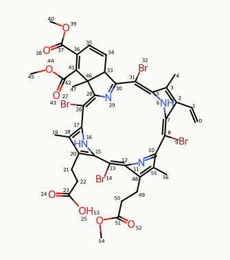 C=Cc1c(C)c2[nH]c1c(Br)c1nc(c(Br)c3[nH]c(c(C)c3CCC(=O)O)c(Br)c3nc(c2Br)C2C=CC(C(=O)OC)=C(C(=O)OC)C32C)C(CCC(=O)OC)=C1C